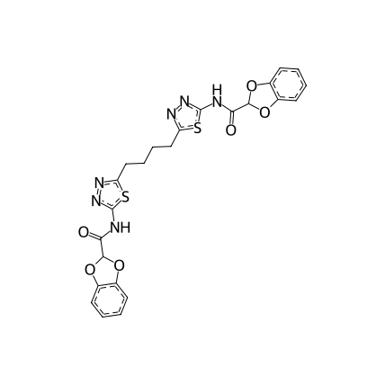 O=C(Nc1nnc(CCCCc2nnc(NC(=O)C3Oc4ccccc4O3)s2)s1)C1Oc2ccccc2O1